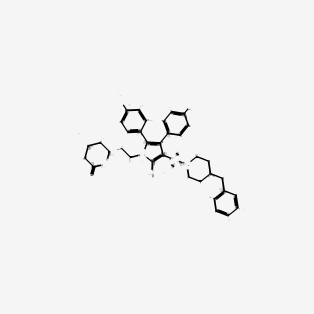 Cc1ccc(-c2c(S(=O)(=O)N3CCC(Cc4ccccc4)CC3)c(C(C)C)n(CC[C@@H]3C[C@@H](O)CC(=O)O3)c2-c2ccc(F)cc2)cc1